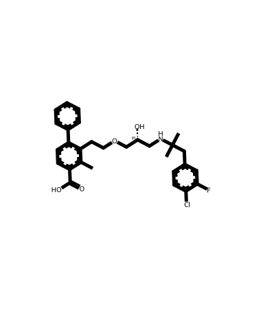 Cc1c(C(=O)O)ccc(-c2ccccc2)c1CCOC[C@H](O)CNC(C)(C)Cc1ccc(Cl)c(F)c1